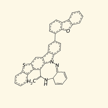 C=C1NC2C=CC=C/C2=N/n2c3ccc(-c4cccc5c4oc4ccccc45)cc3c3cc4sc5ccccc5c4c1c32